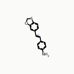 Nc1ccc(/C=C/c2ccc3c(c2)OCS3)cc1